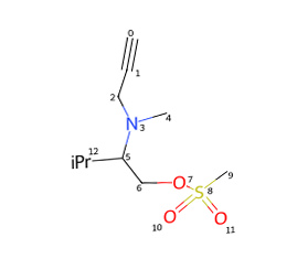 C#CCN(C)C(COS(C)(=O)=O)C(C)C